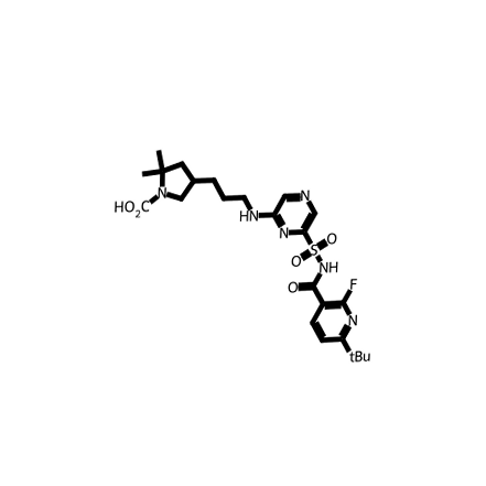 CC(C)(C)c1ccc(C(=O)NS(=O)(=O)c2cncc(NCCCC3CN(C(=O)O)C(C)(C)C3)n2)c(F)n1